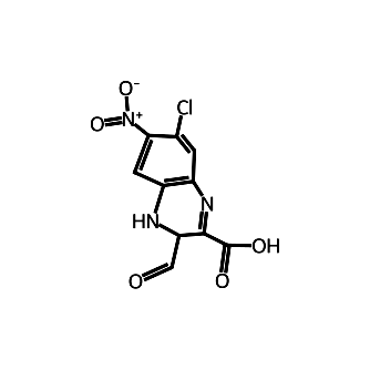 O=CC1Nc2cc([N+](=O)[O-])c(Cl)cc2N=C1C(=O)O